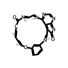 O=C1C/C=C/C=C\Oc2cccc(c2)/N=C\C2=c3c(ncnc3=NC2=O)/N=C\C=N\1